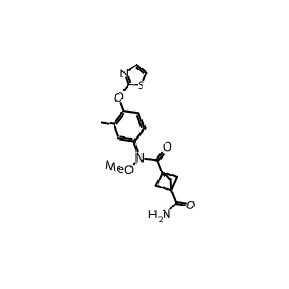 CON(C(=O)C12CC(C(N)=O)(C1)C2)c1ccc(Oc2nccs2)c(C)c1